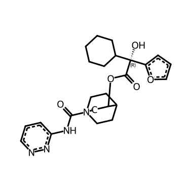 O=C(OC1C[N+]2(C(=O)Nc3cccnn3)CCC1CC2)[C@](O)(c1ccco1)C1CCCCC1